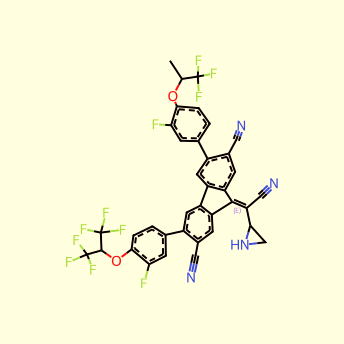 CC(Oc1ccc(-c2cc3c(cc2C#N)/C(=C(\C#N)C2CN2)c2cc(C#N)c(-c4ccc(OC(C(F)(F)F)C(F)(F)F)c(F)c4)cc2-3)cc1F)C(F)(F)F